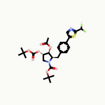 CC(=O)O[C@@H]1[C@@H](OC(=O)OC(C)(C)C)CN(C(=O)OC(C)(C)C)[C@@H]1Cc1ccc(-c2cnc(C(F)F)s2)cc1